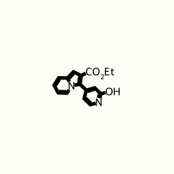 CCOC(=O)c1cc2ccccn2c1-c1ccnc(O)c1